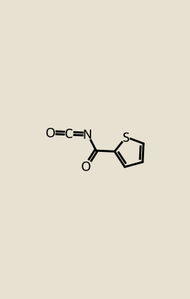 O=C=NC(=O)c1cccs1